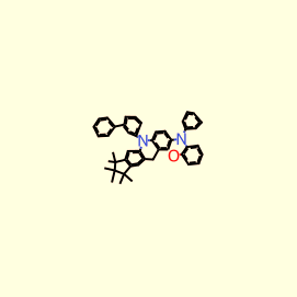 CC1(C)c2cc3c(cc2C(C)(C)C1(C)C)N(c1cccc(-c2ccccc2)c1)c1ccc2c(c1C3)Oc1ccccc1N2c1ccccc1